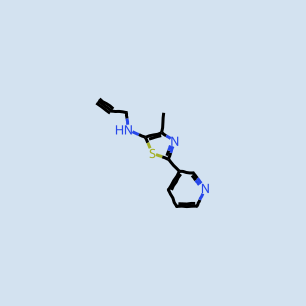 C#CCNc1sc(-c2cccnc2)nc1C